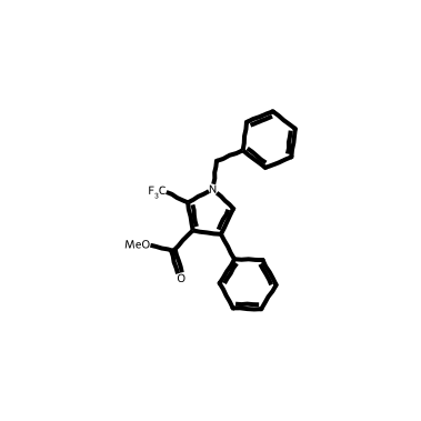 COC(=O)c1c(-c2ccccc2)cn(Cc2ccccc2)c1C(F)(F)F